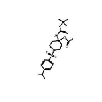 CC(=O)OC1(NC(=O)OC(C)(C)C)CCN(S(=O)(=O)c2ccc(C(C)C)cc2)CC1